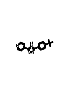 CC(C)(C)c1ccc(-c2nnc(-c3ccncc3)[nH]2)cc1